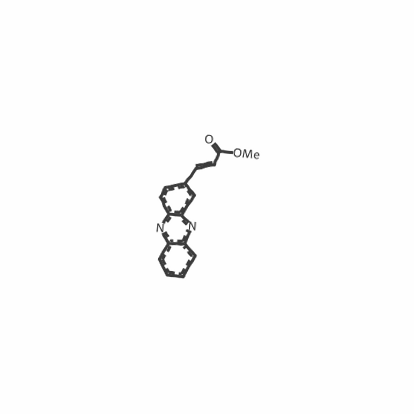 COC(=O)C=Cc1ccc2nc3ccccc3nc2c1